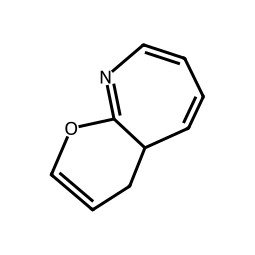 C1=CN=C2OC=CCC2C=C1